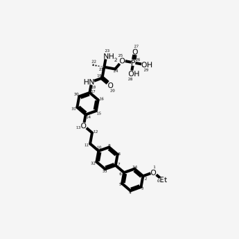 CCOc1cccc(-c2ccc(CCOc3ccc(NC(=O)[C@@](C)(N)COP(=O)(O)O)cc3)cc2)c1